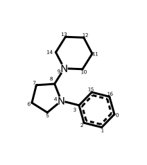 c1ccc(N2CCCC2N2CCCCC2)cc1